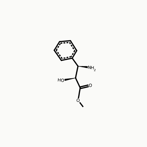 COC(=O)[C@@H](O)[C@H](N)c1ccccc1